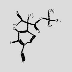 CC(C)(C)OC(=O)C(C)(C(=O)O)c1ccc(C#N)c(F)c1Cl